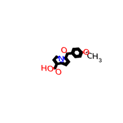 COc1ccc(C(=O)c2ccc3n2CC=C3C(=O)O)cc1